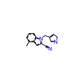 Cc1cccc2c1cc(C#N)n2CC1=CCN=C1